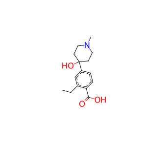 CCc1cc(C2(O)CCN(C)CC2)ccc1C(=O)O